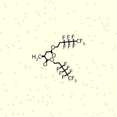 C=C(CC(=O)OCCC(F)(F)C(F)(F)C(F)(F)C(F)(F)F)C(=O)OCCC(F)(F)C(F)(F)C(F)(F)C(F)(F)F